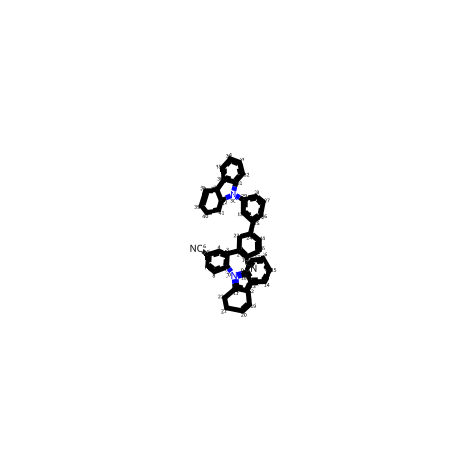 N#CC1=C(c2cc(C#N)ccc2-n2c3c(c4ccccc42)C=CCC3)CC(c2cccc(N3c4ccccc4C4C=CCCC43)c2)C=C1